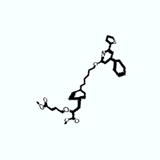 COC(=O)CCCOC(Cc1ccc(CCCCCCOc2cc(-c3ccccc3)cc(-c3cccs3)n2)cc1)C(=O)OC